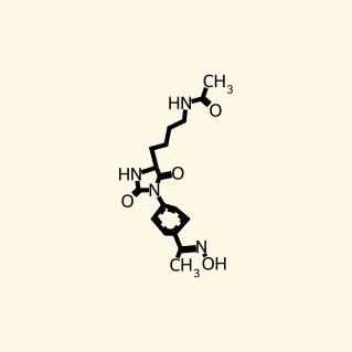 CC(=O)NCCCCC1NC(=O)N(c2ccc(C(C)=NO)cc2)C1=O